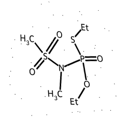 CCOP(=O)(SCC)N(C)S(C)(=O)=O